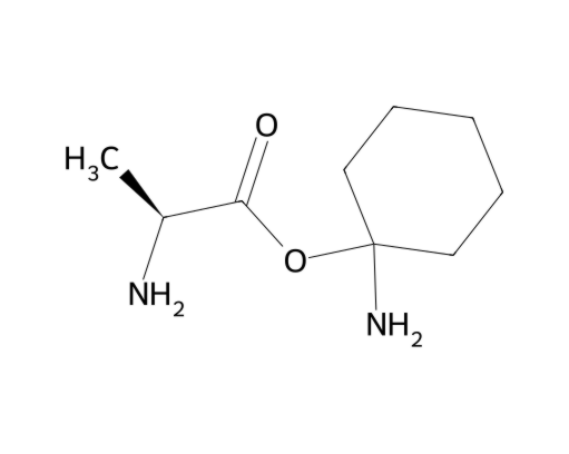 C[C@H](N)C(=O)OC1(N)CCCCC1